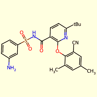 Cc1cc(C)c(Oc2nc(C(C)(C)C)ccc2C(=O)NS(=O)(=O)c2cccc(N)c2)c(C#N)c1